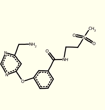 CS(=O)(=O)CCNC(=O)c1cccc(Oc2cc(CN)ncn2)c1